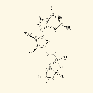 N#C[C@@H]1[C@H](O)[C@@H](COP(=O)(O)OP(=O)(O)OP(=O)(O)O)O[C@H]1n1cnc2c(=O)[nH]c(N)nc21